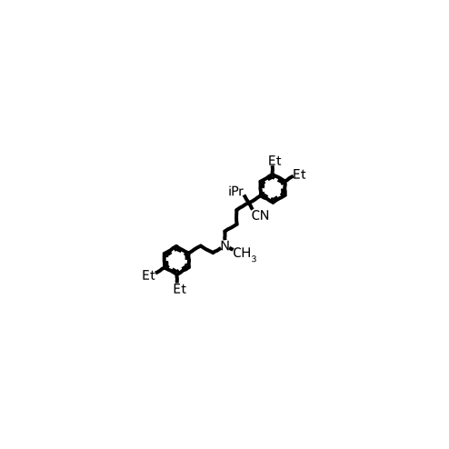 CCc1ccc(CCN(C)CCCC(C#N)(c2ccc(CC)c(CC)c2)C(C)C)cc1CC